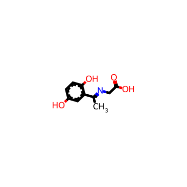 CC(=NCC(=O)O)c1cc(O)ccc1O